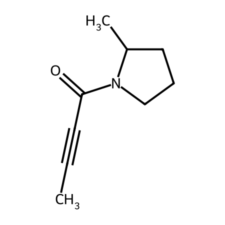 CC#CC(=O)N1CCCC1C